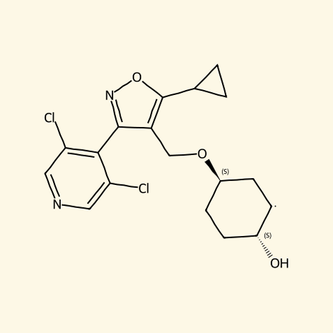 O[C@H]1[CH]C[C@H](OCc2c(-c3c(Cl)cncc3Cl)noc2C2CC2)CC1